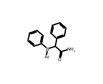 CC(=O)N(c1ccccc1)C(C(N)=O)c1ccccc1